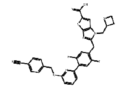 N#Cc1ccc(COc2cccc(-c3cc(F)c(Cc4nc5sc(C(=O)O)cc5n4CC4CCO4)cc3F)n2)cc1